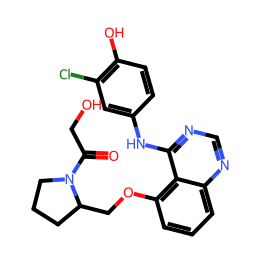 O=C(CO)N1CCCC1COc1cccc2ncnc(Nc3ccc(O)c(Cl)c3)c12